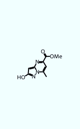 COC(=O)c1cc(C)n2nc(O)cc2n1